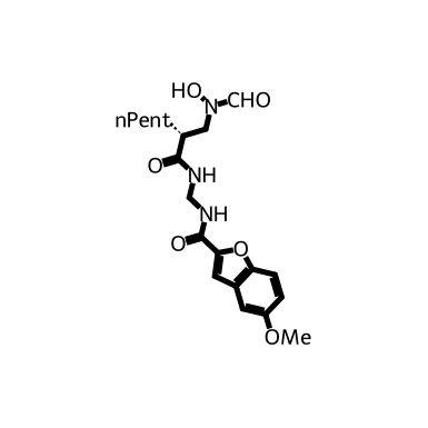 CCCCC[C@H](CN(O)C=O)C(=O)NCNC(=O)c1cc2cc(OC)ccc2o1